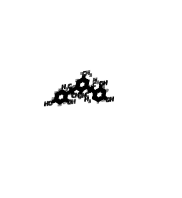 Cc1cc(C(C)(C)c2ccc(O)cc2O)c(O)c(C(C)(C)c2ccc(O)cc2O)c1